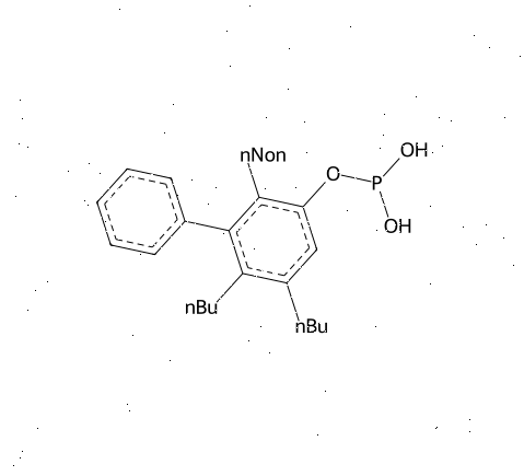 CCCCCCCCCc1c(OP(O)O)cc(CCCC)c(CCCC)c1-c1ccccc1